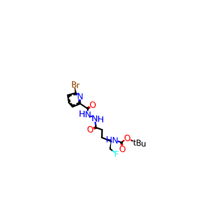 CC(C)(C)OC(=O)N[C@@H](CF)CCC(=O)NNC(=O)c1cccc(Br)n1